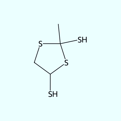 CC1(S)SCC(S)S1